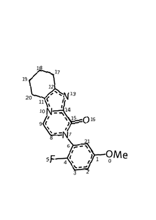 COc1ccc(F)c(-n2ccn3c4c(nc3c2=O)CCCC4)c1